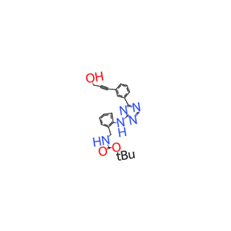 CC(C)(C)OC(=O)NCc1ccccc1Nc1ncnc(-c2cccc(C#CCO)c2)n1